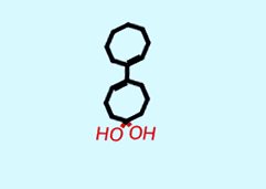 OC1(O)CCC=C(C2=CCCCCCC2)CCC1